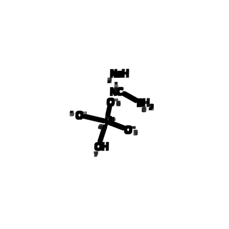 BC#N.[NaH].[O-][I+3]([O-])([O-])O